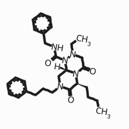 CCCC[C@H]1C(=O)N(CCCc2ccccc2)C[C@H]2N1C(=O)CN(CC)N2C(=O)NCc1ccccc1